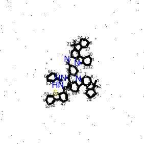 CC1(C)C2=C(C3=C(CC2)N(C2CC(N4C5=C(C6=C(CC5)C(C)(C)C5C=CC=CC65)C5CCCCC54)C(C#N)C=C2C2C=CC(C4C=CCC5C6=CCCC=C6SC54)NC(c4ccccc4)N2)C2C=CCCC32)C2C=CC=CC21